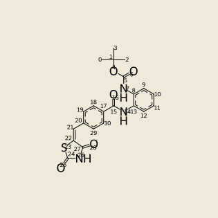 CC(C)(C)OC(=O)Nc1ccccc1NC(=O)c1ccc(/C=C2/SC(=O)NC2=O)cc1